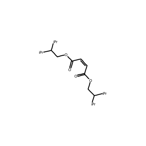 CC(C)C(COC(=O)/C=C\C(=O)OCC(C(C)C)C(C)C)C(C)C